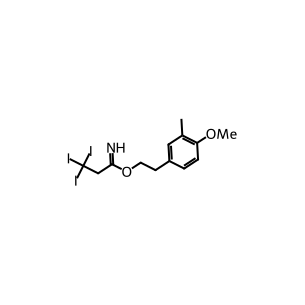 COc1ccc(CCOC(=N)CC(I)(I)I)cc1C